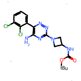 CC(C)(C)OC(=O)NC1CN(c2nnc(-c3cccc(Cl)c3Cl)c(N)n2)C1